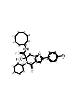 CCc1ccc(-c2cc3n(n2)CC(C)(C(=O)NC2CCCCCCC2)N(C2CCCCC2)C3=O)cc1